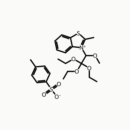 CCOC(OCC)(OCC)C(OC)[n+]1c(C)sc2ccccc21.Cc1ccc(S(=O)(=O)[O-])cc1